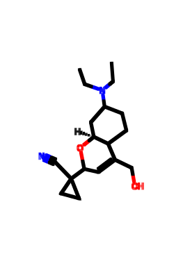 CCN(CC)C1CCC2C(CO)=CC(C3(C#N)CC3)O[C@H]2C1